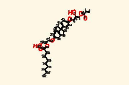 C=CC(=O)OCC(O)COc1ccc(C(CC)(CC)c2ccc(OCC(CO)OC(=O)CCCCCCCC)cc2)cc1